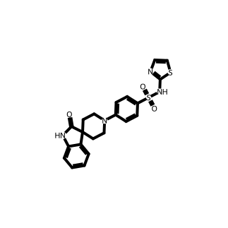 O=C1Nc2ccccc2C12CCN(c1ccc(S(=O)(=O)Nc3nccs3)cc1)CC2